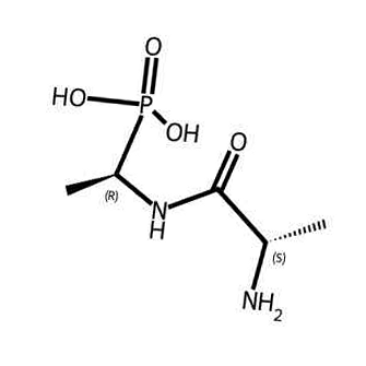 C[C@H](N)C(=O)N[C@@H](C)P(=O)(O)O